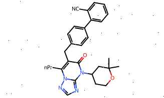 CCCc1c(Cc2ccc(-c3ccccc3C#N)cc2)c(=O)n(C2CCOC(C)(C)C2)c2ncnn12